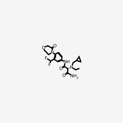 CCN(CC1CC1)[C@H](C(N)=O)C(=O)Nc1ccc(N2CCOCC2=O)c(C(F)F)c1